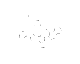 CNC(C)C(=O)NC1CN(C(=O)c2ccncc2)c2cc(C(F)(F)F)ccc2N(Cc2c(C3CC3)cnc3ccccc23)C1=O